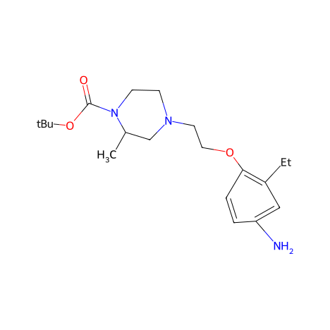 CCc1cc(N)ccc1OCCN1CCN(C(=O)OC(C)(C)C)C(C)C1